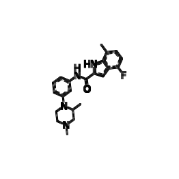 Cc1ccc(F)c2cc(C(=O)Nc3cccc(N4CCN(C)CC4C)c3)[nH]c12